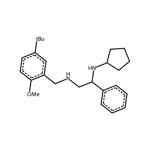 COc1ccc(C(C)(C)C)cc1CNCC(NC1CCCC1)c1ccccc1